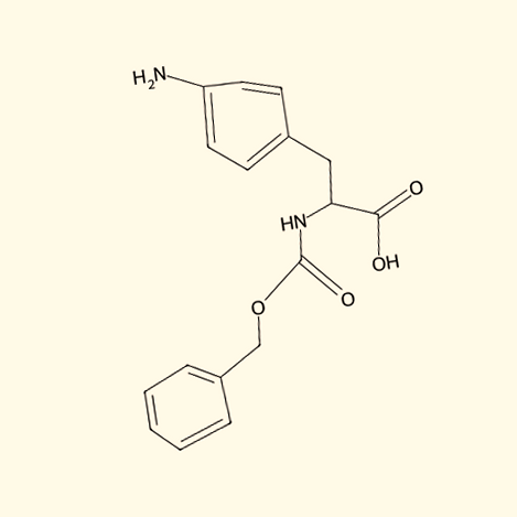 Nc1ccc(CC(NC(=O)OCc2ccccc2)C(=O)O)cc1